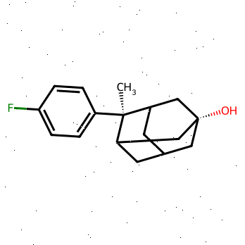 C[C@]1(c2ccc(F)cc2)C2CC3CC1C[C@](O)(C3)C2